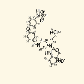 CCCCN(C(=O)Nc1c(C)cc[n+]([O-])c1C)C1CCN(Cc2ccc(Oc3ccc(NS(C)(=O)=O)cc3)cc2)CC1.Cl